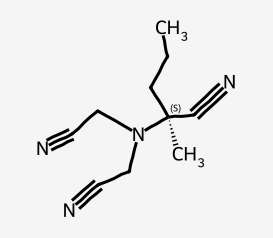 CCC[C@@](C)(C#N)N(CC#N)CC#N